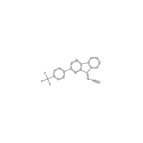 [C-]#[N+]/N=C1\c2ccccc2-c2ncc(-c3ccc(C(F)(F)F)cc3)nc21